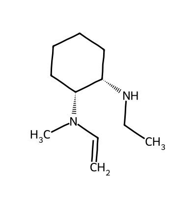 C=CN(C)[C@@H]1CCCC[C@@H]1NCC